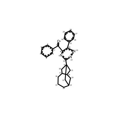 O=C(c1ccccc1)c1nc(C23CC4CCCC(C2)C(C4)C3)nnc1-c1ccccc1